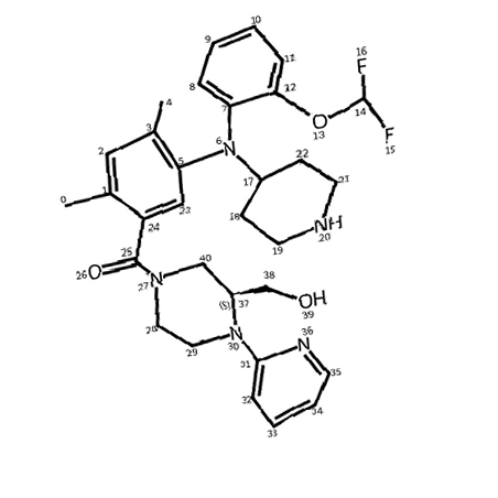 Cc1cc(C)c(N(c2ccccc2OC(F)F)C2CCNCC2)cc1C(=O)N1CCN(c2ccccn2)[C@H](CO)C1